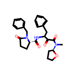 CN(C(=O)C(=O)C(Cc1ccccc1)NC(=O)[C@@H]1CCC(=O)N1Cc1ccccc1)[C@@H]1CCCO1